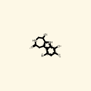 CCC1CNC(=O)Cc2c1[nH]c1c(Cl)c(Cl)cc(Br)c21